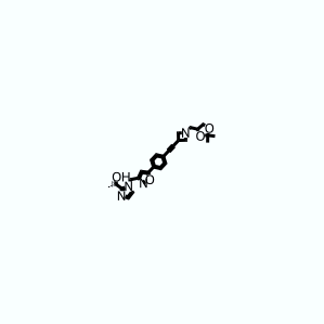 C[C@H](O)c1nccn1Cc1cc(-c2ccc(C#CC3CN(CC4COC(C)(C)O4)C3)cc2)on1